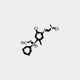 CCN(C)C=Nc1cc(C)c(S(=O)(=NC#N)c2ccccc2)cc1Cl